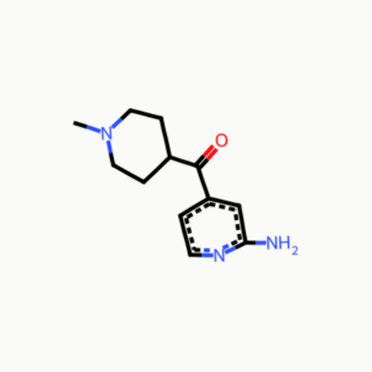 CN1CCC(C(=O)c2ccnc(N)c2)CC1